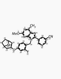 COc1nc(C)c2nc(-c3cncc(C#N)c3)n(Cc3ccc(OC4CC5CCC(C4)N5)cc3F)c2n1